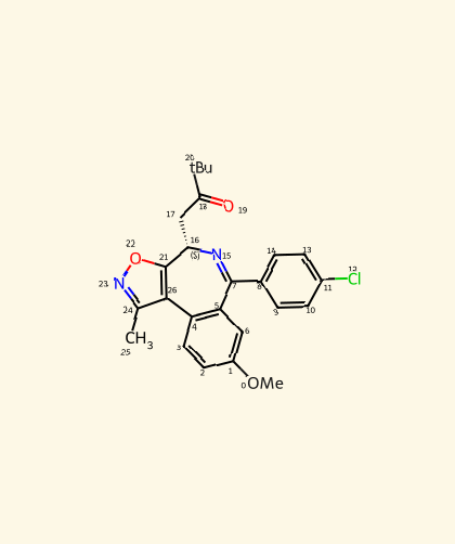 COc1ccc2c(c1)C(c1ccc(Cl)cc1)=N[C@@H](CC(=O)C(C)(C)C)c1onc(C)c1-2